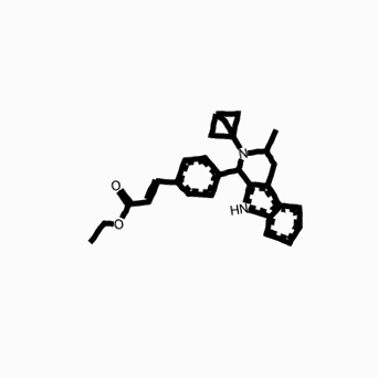 CCOC(=O)/C=C/c1ccc(C2c3[nH]c4ccccc4c3CC(C)N2C23CC(C2)C3)cc1